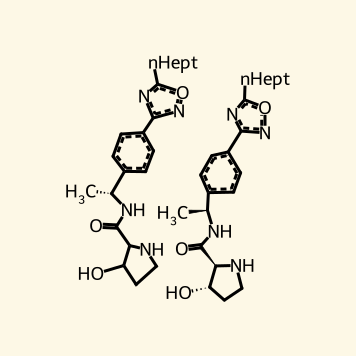 CCCCCCCc1nc(-c2ccc([C@@H](C)NC(=O)C3NCCC3O)cc2)no1.CCCCCCCc1nc(-c2ccc([C@H](C)NC(=O)[C@H]3NCC[C@@H]3O)cc2)no1